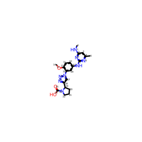 CNc1cc(C)nc(Nc2ccc(OC)c(-n3cc(C4CCCN4C(=O)O)nn3)c2)n1